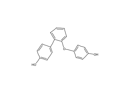 Oc1ccc(Oc2ccccc2-c2ccc(O)cc2)cc1